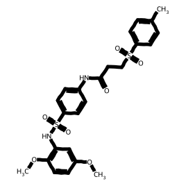 COc1ccc(OC)c(NS(=O)(=O)c2ccc(NC(=O)CCS(=O)(=O)c3ccc(C)cc3)cc2)c1